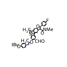 CNC(=O)c1c(-c2ccc(F)cc2)oc2cc(N(C)S)c(-c3ccc(O/C(C)=C/c4ccc(OC(C)(C)C)cc4)c(C=O)c3)cc12